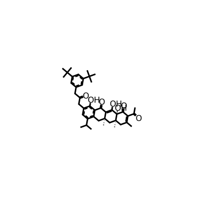 CC(=O)C1=C(C)C[C@@]2(C)C[C@@]3(C)Cc4c(C(C)C)cc(CC(=O)Cc5cc(C(C)(C)C)cc(C(C)(C)C)c5)c(O)c4C(=O)C3=C(O)[C@@]2(O)C1=O